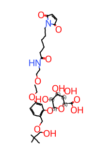 CC(C)(C)C(O)OCc1ccc(OCCOCCNC(=O)CCCCCN2C(=O)C=CC2=O)cc1O[C@@H]1O[C@H](C(=O)O)[C@@H](O)[C@H](O)[C@H]1O